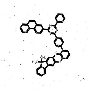 CC1(C)c2ccccc2-c2cc3c(cc21)Oc1c(cccc1-c1ccc(-c2nc(-c4ccccc4)nc(-c4ccc5c(ccc6ccccc65)c4)n2)cc1)O3